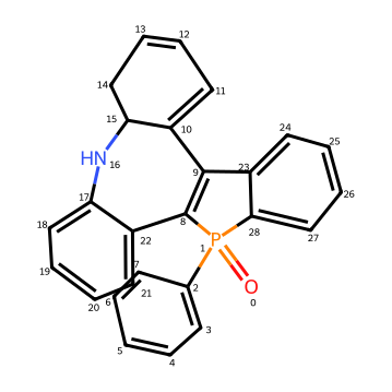 O=P1(c2ccccc2)C2=C(C3=CC=CCC3Nc3ccccc32)c2ccccc21